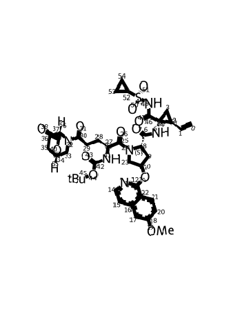 C=C[C@@H]1C[C@]1(NC(=O)[C@@H]1CC(Oc2nccc3cc(OC)ccc23)CN1C(=O)[C@H](CCC(=O)N1C[C@@H]2CC[C@H]1C(=O)O2)NC(=O)OC(C)(C)C)C(=O)NS(=O)(=O)C1CC1